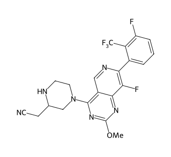 COc1nc(N2CCNC(CC#N)C2)c2cnc(-c3cccc(F)c3C(F)(F)F)c(F)c2n1